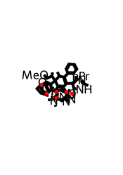 CCCc1nc(C)[nH]c(=O)c1C1=C(c2ccccc2)C(C)C(c2ccccc2-c2ccccc2)(C(C)C(=O)OC)C([N+](=CN(C)C)c2ccccc2)=C1c1nnn[nH]1